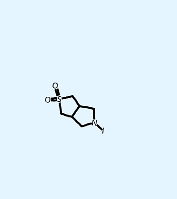 O=S1(=O)CC2CN(I)CC2C1